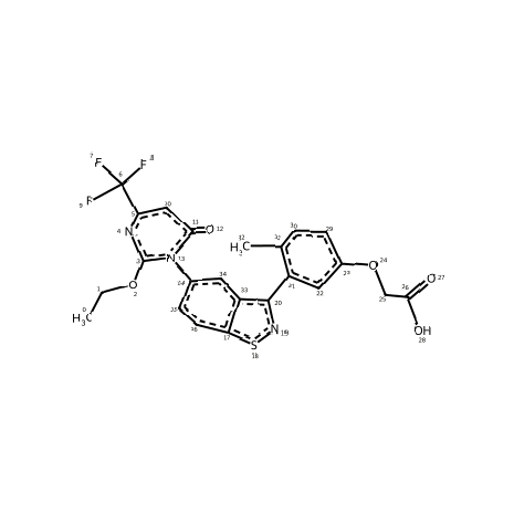 CCOc1nc(C(F)(F)F)cc(=O)n1-c1ccc2snc(-c3cc(OCC(=O)O)ccc3C)c2c1